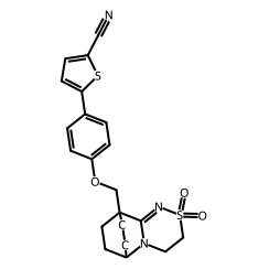 N#Cc1ccc(-c2ccc(OCC34CCC(CC3)N3CCS(=O)(=O)N=C34)cc2)s1